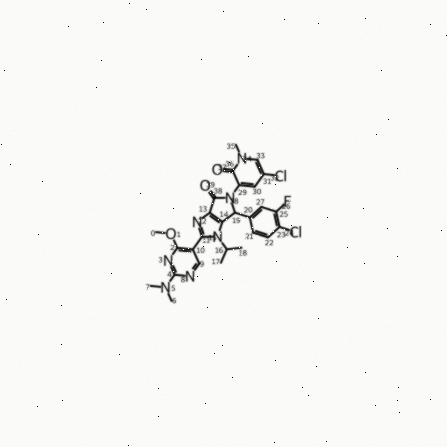 COc1nc(N(C)C)ncc1-c1nc2c(n1C(C)C)C(c1ccc(Cl)c(F)c1)N(c1cc(Cl)cn(C)c1=O)C2=O